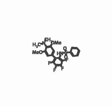 COc1cc(-c2c(F)c(F)c(F)c(F)c2NS(=O)(=O)c2ccccc2)cc(OC)c1N(C)C